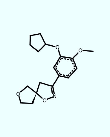 COc1ccc(C2=NO[C@@]3(CCOC3)C2)cc1OC1CCCC1